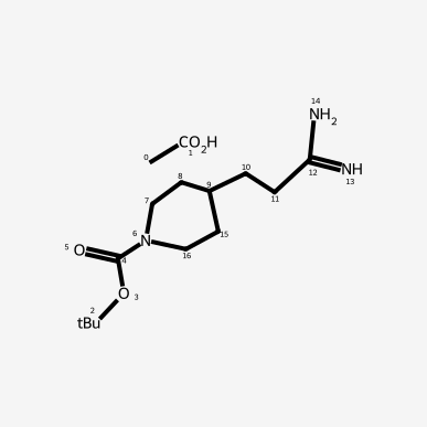 CC(=O)O.CC(C)(C)OC(=O)N1CCC(CCC(=N)N)CC1